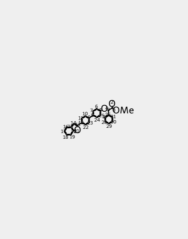 COC(=O)C(Oc1ccc(-c2ccc(-c3cc4ccccc4o3)cc2)cc1)c1ccccc1